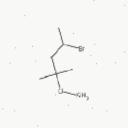 CC(Br)CC(C)(C)O[SiH3]